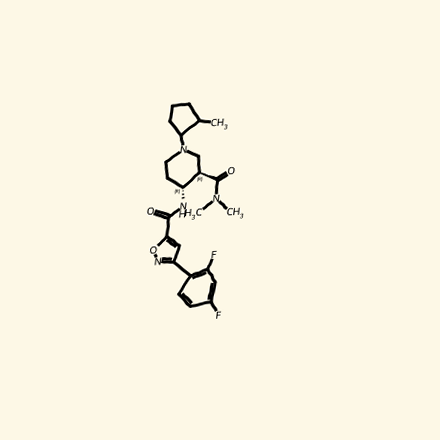 CC1CCCC1N1CC[C@@H](NC(=O)c2cc(-c3ccc(F)cc3F)no2)[C@H](C(=O)N(C)C)C1